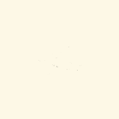 NC(=O)CC(N)C(=O)O.NC(Cc1ccc(O)cc1)C(=O)O.NC(Cc1ccccc1)C(=O)O